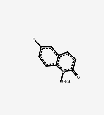 CCCCCn1c(=O)ccc2cc(F)ccc21